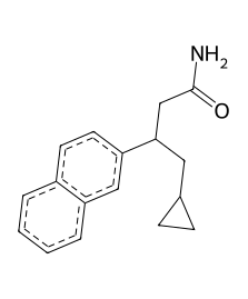 NC(=O)CC(CC1CC1)c1ccc2ccccc2c1